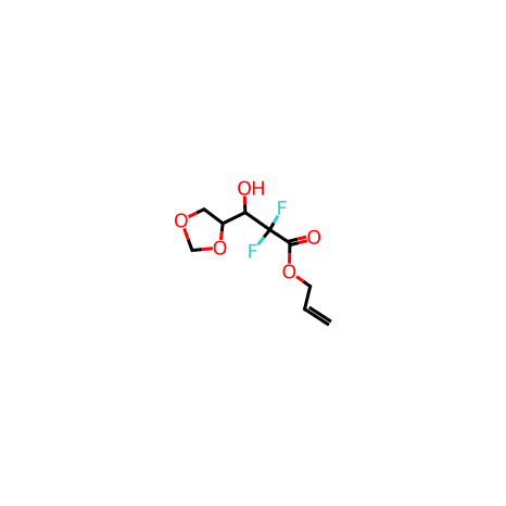 C=CCOC(=O)C(F)(F)C(O)C1COCO1